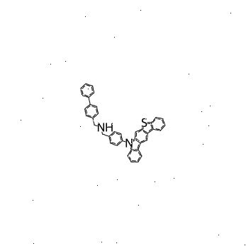 c1ccc(-c2ccc(CNCc3ccc(-n4c5ccccc5c5cc6c(cc54)sc4ccccc46)cc3)cc2)cc1